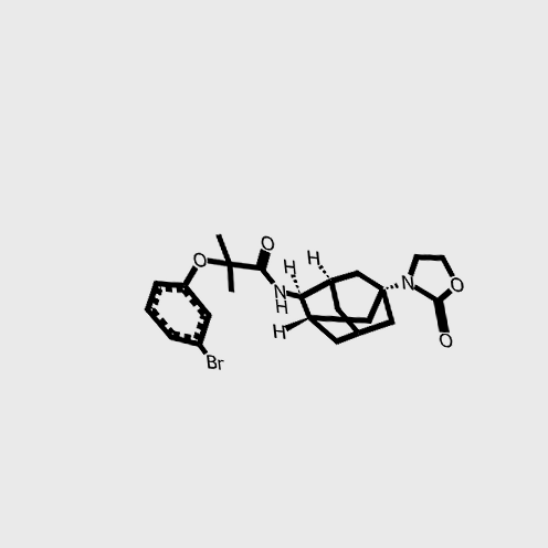 CC(C)(Oc1cccc(Br)c1)C(=O)N[C@H]1[C@@H]2CC3C[C@H]1C[C@](N1CCOC1=O)(C3)C2